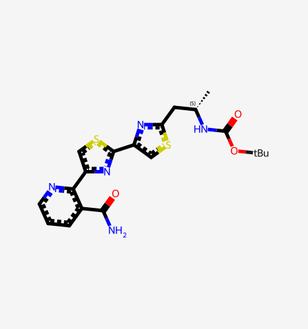 C[C@@H](Cc1nc(-c2nc(-c3ncccc3C(N)=O)cs2)cs1)NC(=O)OC(C)(C)C